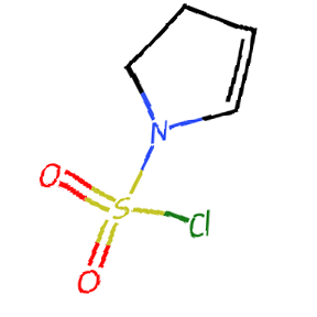 O=S(=O)(Cl)N1C=CCC1